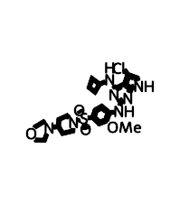 COc1cc(S(=O)(=O)N2CCC(N3CCOCC3)CC2)ccc1Nc1nc(NC2CCC2)c2c(Cl)c[nH]c2n1